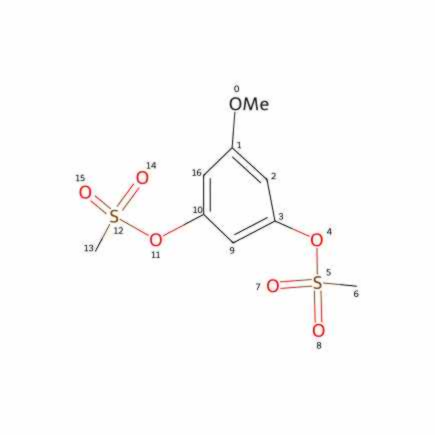 COc1cc(OS(C)(=O)=O)cc(OS(C)(=O)=O)c1